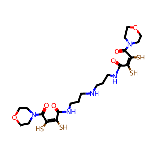 O=C(NCCCNCCCNC(=O)/C(S)=C(/S)C(=O)N1CCOCC1)/C(S)=C(/S)C(=O)N1CCOCC1